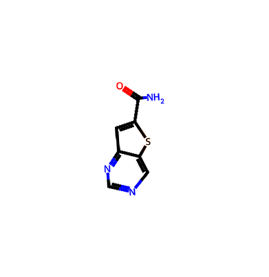 NC(=O)c1cc2ncncc2s1